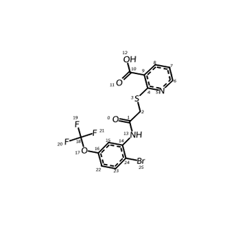 O=C(CSc1ncccc1C(=O)O)Nc1cc(OC(F)(F)F)ccc1Br